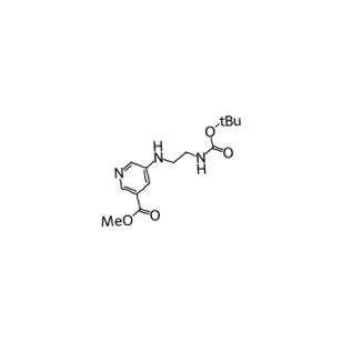 COC(=O)c1cncc(NCCNC(=O)OC(C)(C)C)c1